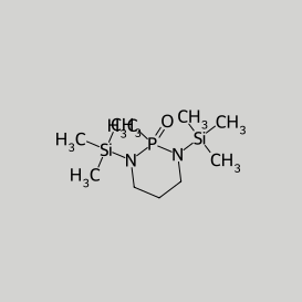 C[Si](C)(C)N1CCCN([Si](C)(C)C)P1(C)=O